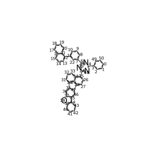 c1ccc(-c2nc(-c3cccc(-c4cccc5ccccc45)c3)nc(-c3ccc4c5c(cccc35)-c3cc5oc6ccccc6c5cc3-4)n2)cc1